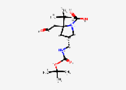 CC(C)(C)OC(=O)NC[C@H]1CN(C(=O)O)C(CC=O)(C(C)(C)C)C1